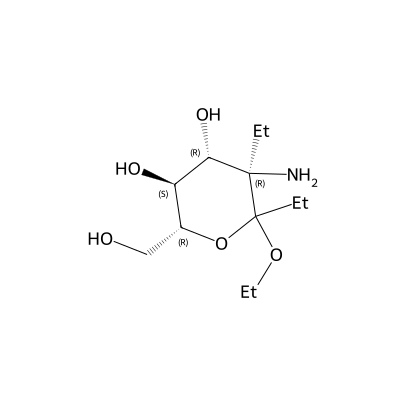 CCOC1(CC)O[C@H](CO)[C@@H](O)[C@H](O)[C@]1(N)CC